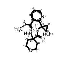 COC(=O)c1cccnc1C1(NC(=O)C2(N)CCOCC2)CC1.Cl